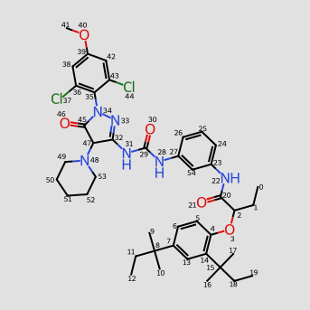 CCC(Oc1ccc(C(C)(C)CC)cc1C(C)(C)CC)C(=O)Nc1cccc(NC(=O)NC2=NN(c3c(Cl)cc(OC)cc3Cl)C(=O)C2N2CCCCC2)c1